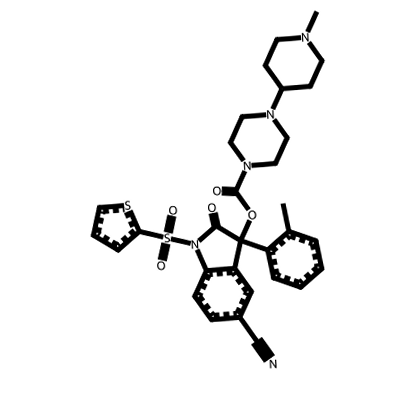 Cc1ccccc1C1(OC(=O)N2CCN(C3CCN(C)CC3)CC2)C(=O)N(S(=O)(=O)c2cccs2)c2ccc(C#N)cc21